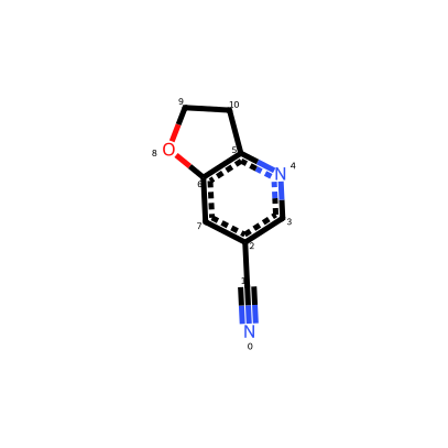 N#Cc1cnc2c(c1)OCC2